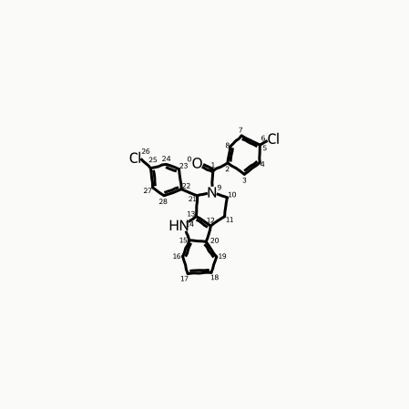 O=C(c1ccc(Cl)cc1)N1CCc2c([nH]c3ccccc23)C1c1ccc(Cl)cc1